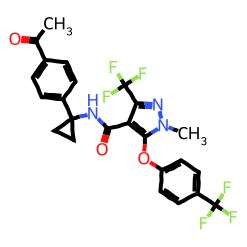 CC(=O)c1ccc(C2(NC(=O)c3c(C(F)(F)F)nn(C)c3Oc3ccc(C(F)(F)F)cc3)CC2)cc1